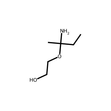 CCC(C)(N)OCCO